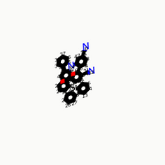 N#Cc1ccc(-c2ccc([Si](c3ccccc3)(c3ccccc3)c3ccccc3)cc2C#N)c(-n2c3ccccc3c3ccccc32)c1